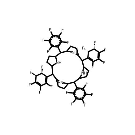 FC1=C(F)[C@@H](F)[C@@H](F)C(C2C3CCC(N3)C(c3c(F)c(F)c(F)c(F)c3F)C3CCC(N3)C(C3=C(F)C(F)=C(F)[C@@H](F)[C@H]3F)C3CCC(N3)C(c3c(F)c(F)c(F)c(F)c3F)C3CCC2N3)=C1F